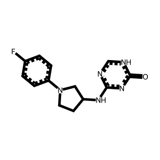 O=c1nc(NC2CCN(c3ccc(F)cc3)C2)nc[nH]1